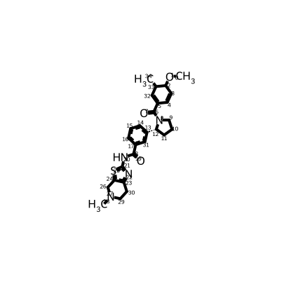 COC1C=CC(C(=O)N2CCC[C@@H]2c2cccc(C(=O)Nc3nc4c(s3)CN(C)CC4)c2)=CC1C